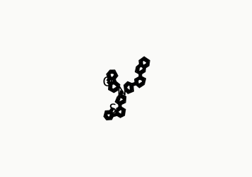 c1cc(-c2ccc(N(c3ccc(-c4cccc5c4sc4ccccc45)cc3)c3ccc4oc5ccccc5c4c3)cc2)cc(-c2ccc3ccccc3c2)c1